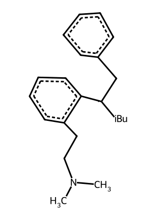 CCC(C)[C](Cc1ccccc1)c1ccccc1CCN(C)C